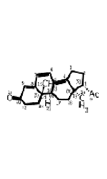 CC(=O)[C@H]1CCC2=C3C=CC4=CC(=O)CC[C@@]4(C)[C@@H]3CC[C@@]21C